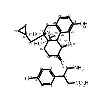 NCC(CC(=O)O)c1ccc(Cl)cc1.O=C1CC[C@@]2(O)[C@H]3Cc4ccc(O)c5c4[C@@]2(CCN3CC2CC2)[C@H]1O5